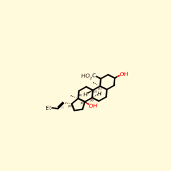 CC/C=C/[C@H]1CC[C@@]2(O)[C@@H]3CCC4CC(O)CC(C(=O)O)[C@]4(C)[C@H]3CC[C@]12C